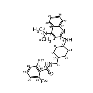 CN(C)c1cc(NC2CCC(CNC(=O)c3c(F)cccc3F)CC2)nc2ccccc12